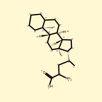 CC(CC(N)C(=O)O)[C@H]1CC[C@H]2[C@@H]3CCC4CCCC[C@]4(C)[C@H]3CC[C@]12C